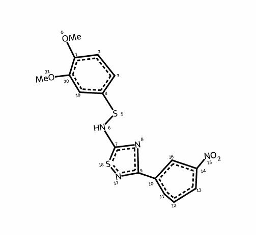 COc1ccc(SNc2nc(-c3cccc([N+](=O)[O-])c3)ns2)cc1OC